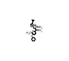 Cc1nc(/C(N)=C(\Cn2ncc(C3CC3)n2)N(C)N)ccc1OC1CCCCC1